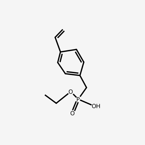 C=Cc1ccc(CP(=O)(O)OCC)cc1